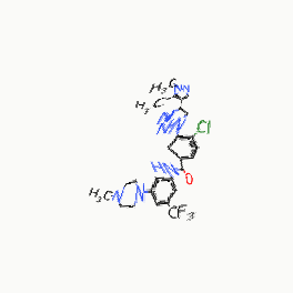 Cc1c(-c2cn(-c3cc(C(=O)Nc4cc(N5CCN(C)CC5)cc(C(F)(F)F)c4)ccc3Cl)nn2)cnn1C